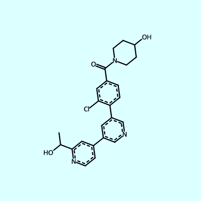 CC(O)c1cc(-c2cncc(-c3ccc(C(=O)N4CCC(O)CC4)cc3Cl)c2)ccn1